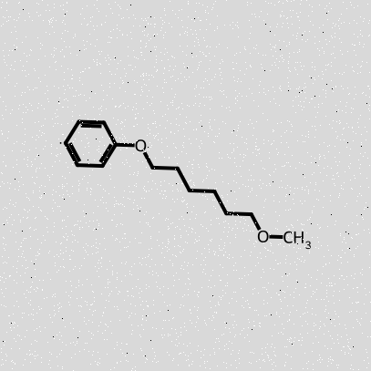 COCCCCCCOc1cc[c]cc1